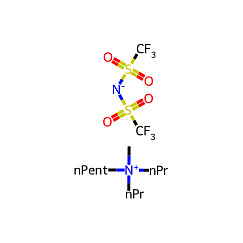 CCCCC[N+](C)(CCC)CCC.O=S(=O)([N-]S(=O)(=O)C(F)(F)F)C(F)(F)F